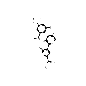 COC(=O)c1cc(-c2ncc(F)cc2OC(C)c2cc(F)cc(S(C)(=O)=O)c2)c(C)s1